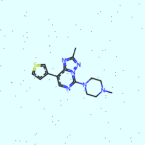 Cc1nc2c(-c3ccsc3)cnc(N3CCN(C)CC3)n2n1